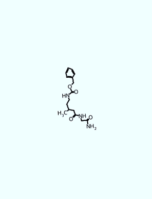 CC(CCNC(=O)OCc1ccccc1)CC(=O)NCC(N)=O